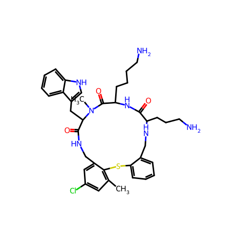 Cc1cc(Cl)cc2c1Sc1ccccc1CNC(CCCN)C(=O)NC(CCCCN)C(=O)N(C)C(Cc1c[nH]c3ccccc13)C(=O)NC2